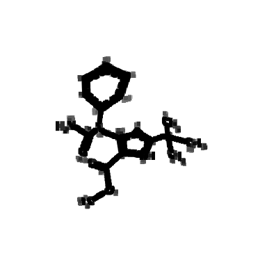 COC(=O)c1[nH]c(C(C)(C)C)cc1N(C(N)=O)c1ccccc1